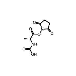 C[C@H](NC(=O)O)C(=O)ON1C(=O)CCC1=O